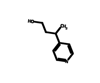 CC(CCO)c1ccncc1